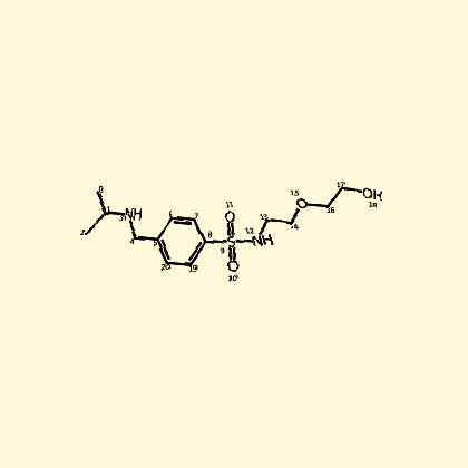 CC(C)NCc1ccc(S(=O)(=O)NCCOCCO)cc1